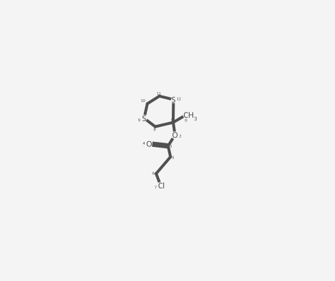 CC1(OC(=O)CCCl)CSCCS1